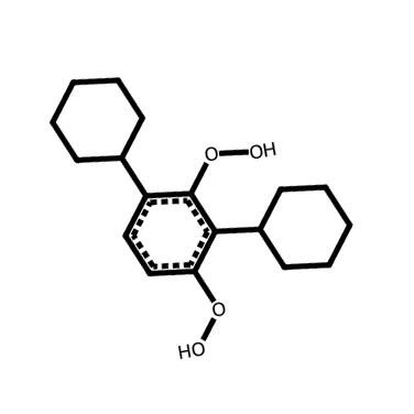 OOc1ccc(C2CCCCC2)c(OO)c1C1CCCCC1